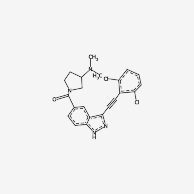 CN(C)C1CCN(C(=O)c2ccc3[nH]nc(C#Cc4c(Cl)cccc4Cl)c3c2)C1